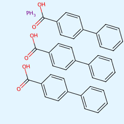 O=C(O)c1ccc(-c2ccccc2)cc1.O=C(O)c1ccc(-c2ccccc2)cc1.O=C(O)c1ccc(-c2ccccc2)cc1.P